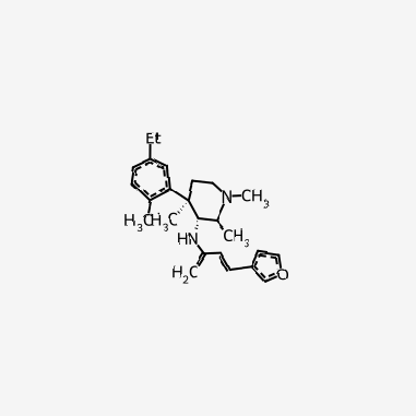 C=C(/C=C/c1ccoc1)N[C@H]1C(C)N(C)CC[C@]1(C)c1cc(CC)ccc1C